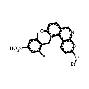 CCOc1ccc2c(ncc3ccc(=O)n(Cc4c(F)cc(S(=O)(=O)O)cc4F)c32)n1